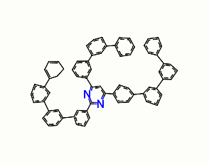 C1=CCCC(c2cccc(-c3cccc(-c4cccc(-c5nc(-c6ccc(-c7cccc(-c8cccc(-c9ccccc9)c8)c7)cc6)cc(-c6cccc(-c7cccc(-c8ccccc8)c7)c6)n5)c4)c3)c2)=C1